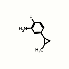 CC1C[C]1c1ccc(F)c(N)c1